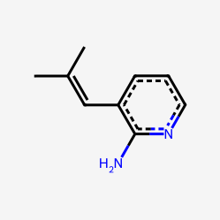 CC(C)=Cc1cccnc1N